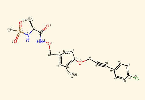 CCS(=O)(=O)N[C@H](C(=O)NOCc1ccc(OCC#Cc2ccc(Cl)cc2)c(OC)c1)C(C)C